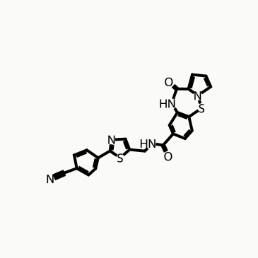 N#Cc1ccc(-c2ncc(CNC(=O)c3ccc4c(c3)NC(=O)c3cccn3S4)s2)cc1